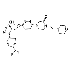 Cc1nnn(-c2ccc(C(F)F)cc2)c1COc1ccc(N2CCN(CCN3CCOCC3)C(=O)C2)nn1